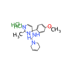 COc1ccc(C2(NCN3CC=CCC3)C=CN=C(C)N2)cc1.Cl.Cl